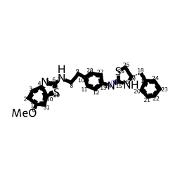 COc1ccc2nc(NCCc3ccc(/N=C4/N[C@@H](Cc5ccccc5)CS4)cc3)sc2c1